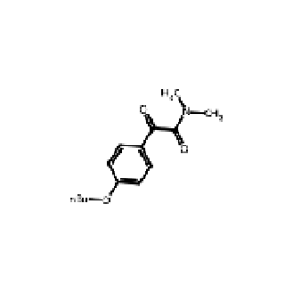 CCCCOc1ccc(C(=O)C(=O)N(C)C)cc1